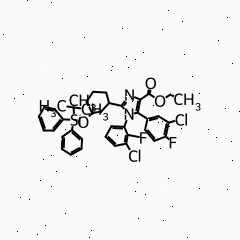 CCOC(=O)c1nc(C2CCCC(O[Si](c3ccccc3)(c3ccccc3)C(C)(C)C)C2)n(-c2cccc(Cl)c2F)c1-c1ccc(F)c(Cl)c1